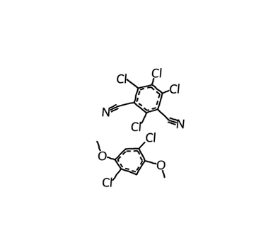 COc1cc(Cl)c(OC)cc1Cl.N#Cc1c(Cl)c(Cl)c(Cl)c(C#N)c1Cl